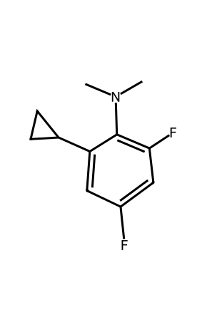 CN(C)c1c(F)cc(F)cc1C1CC1